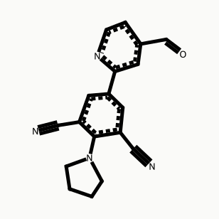 N#Cc1cc(-c2cc(C=O)ccn2)cc(C#N)c1N1CCCC1